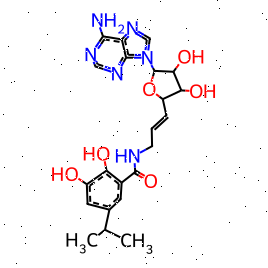 CC(C)c1cc(O)c(O)c(C(=O)NCC=CC2OC(n3cnc4c(N)ncnc43)C(O)C2O)c1